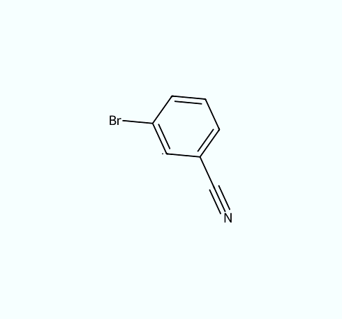 N#Cc1[c]c(Br)ccc1